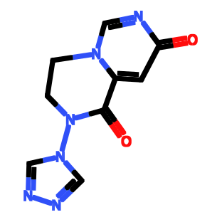 O=C1c2cc(=O)ncn2CCN1n1cnnc1